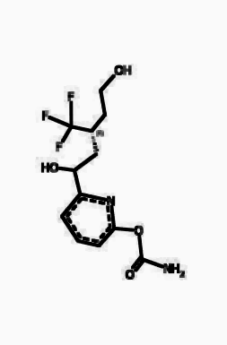 NC(=O)Oc1cccc(C(O)C[C@@H](CCO)C(F)(F)F)n1